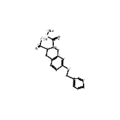 COC(=O)C1Cc2ccc(OCc3ccccc3)cc2CN1C(=O)OC(C)(C)C